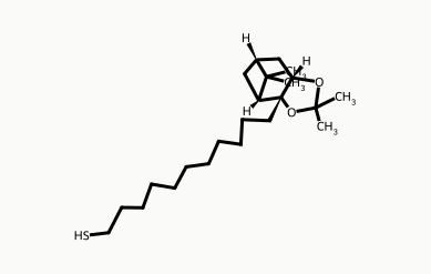 CC1(C)O[C@H]2C[C@H]3C[C@H](C3(C)C)[C@@]2(CCCCCCCCCCCS)O1